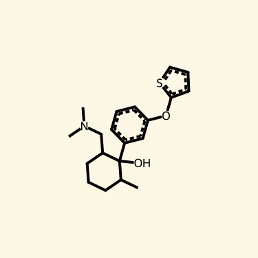 CC1CCCC(CN(C)C)C1(O)c1cccc(Oc2cccs2)c1